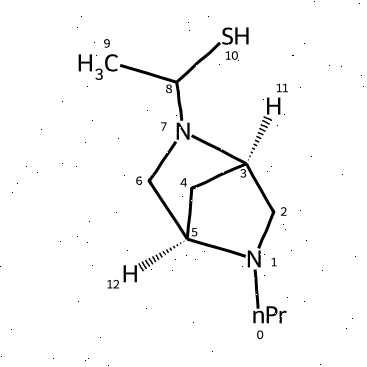 CCCN1C[C@H]2C[C@@H]1CN2C(C)S